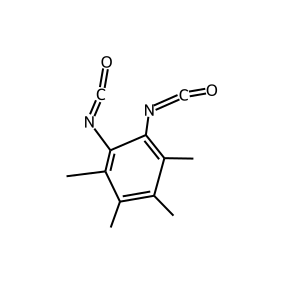 Cc1c(C)c(C)c(N=C=O)c(N=C=O)c1C